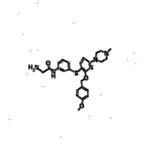 COc1ccc(COc2nc(N3CCN(C)CC3)ccc2Sc2cccc(NC(=O)CN)c2)cc1